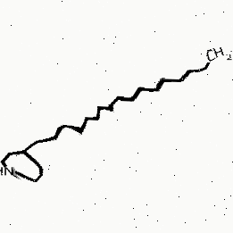 [CH2]CCCCCCCCCCCCCCCCC1CCNCC1